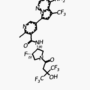 Cc1ncc(-c2cc(C(F)(F)F)c3c(N)ncnn23)cc1C(=O)N[C@@H]1CN(C(=O)CC(O)(C(F)(F)F)C(F)(F)F)C[C@@H]1F